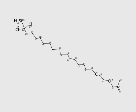 C=C(C)COCCCCCCCCCCCCCCCCCCCC([SiH3])(Cl)Cl